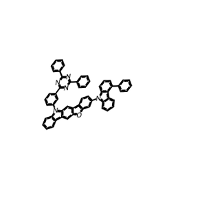 c1ccc(-c2nc(-c3ccccc3)nc(-c3cccc(-n4c5ccccc5c5cc6oc7cc(-n8c9ccccc9c9c(-c%10ccccc%10)cccc98)ccc7c6cc54)c3)n2)cc1